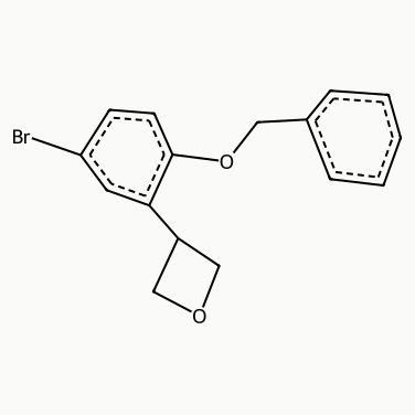 Brc1ccc(OCc2ccccc2)c(C2COC2)c1